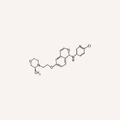 C[C@H]1COCCN1CCOc1ccc2c(Nc3ccc(Cl)nc3)nccc2c1